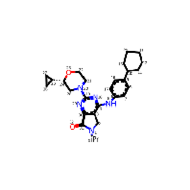 CC(C)N1Cc2c(Nc3ccc(C4CCCCC4)cc3)nc(N3CCO[C@@H](C4CC4)C3)nc2C1=O